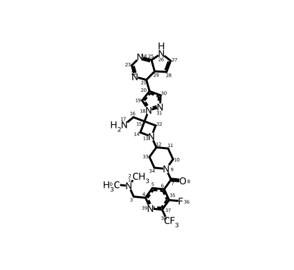 CN(C)Cc1cc(C(=O)N2CCC(N3CC(CN)(n4cc(C5N=CN=C6NC=CC65)cn4)C3)CC2)c(F)c(C(F)(F)F)n1